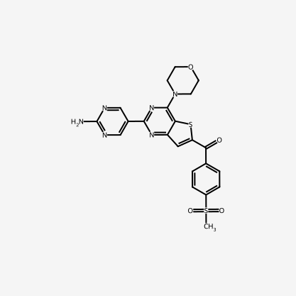 CS(=O)(=O)c1ccc(C(=O)c2cc3nc(-c4cnc(N)nc4)nc(N4CCOCC4)c3s2)cc1